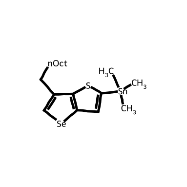 CCCCCCCCCc1c[se]c2c[c]([Sn]([CH3])([CH3])[CH3])sc12